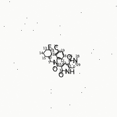 Cc1[nH]c(=O)c(C(=O)N(CC2CCCCC2)c2cccc(C(F)(F)F)c2)cc1C(=O)N(C)C